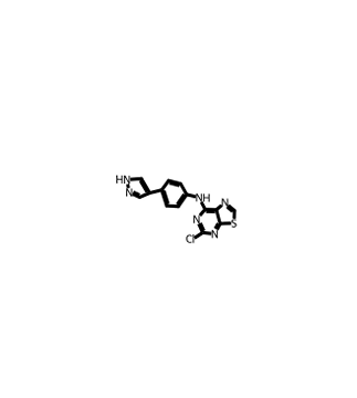 Clc1nc(Nc2ccc(-c3cn[nH]c3)cc2)c2ncsc2n1